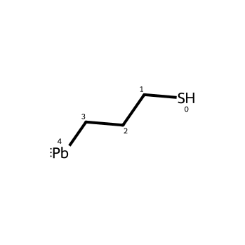 SCC[CH2][Pb]